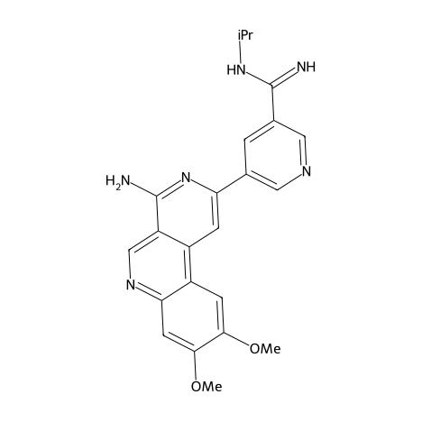 COc1cc2ncc3c(N)nc(-c4cncc(C(=N)NC(C)C)c4)cc3c2cc1OC